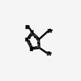 CCn1nnc(C(C)C)c1C(C)C